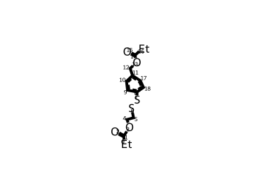 CCC(=O)OCCSSc1ccc(COC(=O)CC)cc1